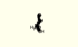 Nc1ncc(-c2ccc([C@]34C[C@H]3CN(CCCN3CCOCC3)C4)cc2)cc1C(=O)NC1CCC(O)CC1